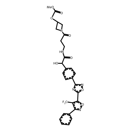 COC(=O)OC1CN(C(=O)CCNC(=O)C(O)c2ccc(-c3noc(-c4onc(-c5ccccc5)c4C(F)(F)F)n3)cc2)C1